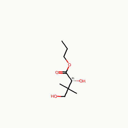 CCCOC(=O)[C@H](O)C(C)(C)CO